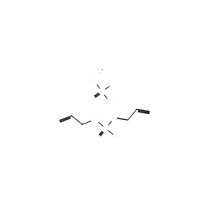 C=CCOP([O-])(=S)SCC=C.O=P([O-])([O-])[O-].[Mo+4]